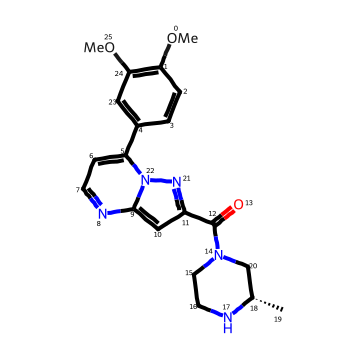 COc1ccc(-c2ccnc3cc(C(=O)N4CCN[C@@H](C)C4)nn23)cc1OC